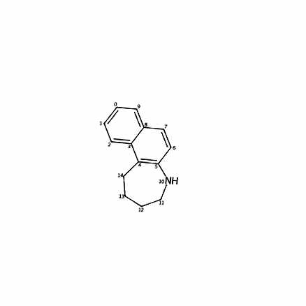 c1ccc2c3c(ccc2c1)NCCCC3